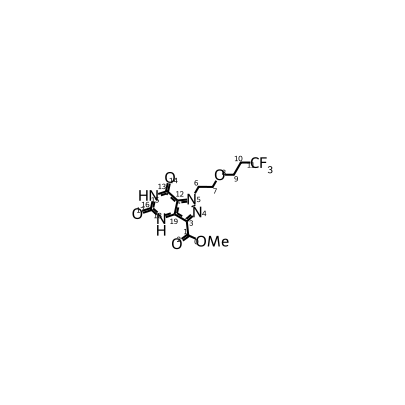 COC(=O)c1nn(CCOCCC(F)(F)F)c2c(=O)[nH]c(=O)[nH]c12